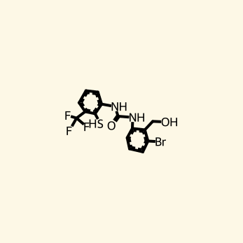 O=C(Nc1cccc(C(F)(F)F)c1S)Nc1cccc(Br)c1CO